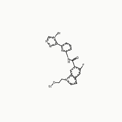 CCOCCn1ccc2cc(F)c(C(=O)Nc3cccc(-c4nncn4C(C)C)n3)cc21